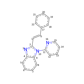 C(=Cc1nc2ccccc2n1-c1ccccn1)c1ccccc1